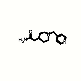 NC(=O)CC1CCN(Cc2ccncc2)CC1